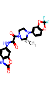 C[C@@H]1CN(C(=O)C(=O)Nc2ccc3[nH]c(=O)oc3c2)CCN1c1ccc2c(c1)OC(F)(F)O2